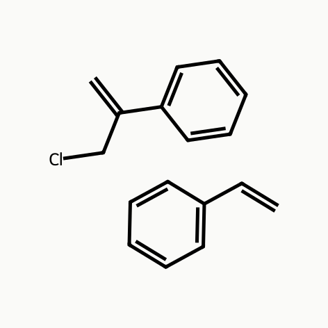 C=C(CCl)c1ccccc1.C=Cc1ccccc1